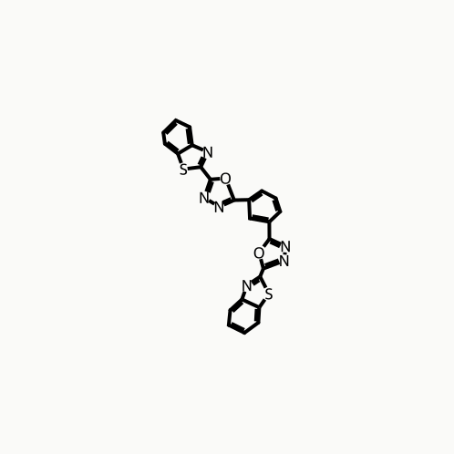 c1cc(-c2nnc(-c3nc4ccccc4s3)o2)cc(-c2nnc(-c3nc4ccccc4s3)o2)c1